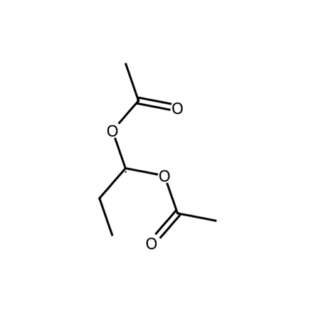 CC[C](OC(C)=O)OC(C)=O